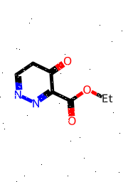 CCOC(=O)C1=NN=CCC1=O